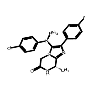 C[C@@H]1NC(=O)Cn2c1nc(-c1ccc(F)cc1)c2N(N)c1ccc(Cl)cc1